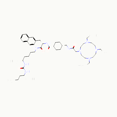 O=C(O)CC[C@H](NC(=O)N[C@@H](CCCCNC(=O)[C@@H](Cc1ccc2ccccc2c1)NC(=O)[C@H]1CC[C@H](CNC(=O)CN2CCN(CC(=O)O)CCN(CC(=O)O)CCN(CC(=O)O)CC2)CC1)C(=O)O)C(=O)O